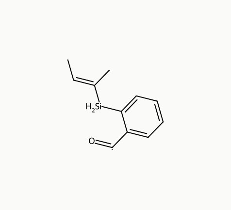 C/C=C(\C)[SiH2]c1ccccc1[C]=O